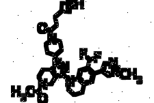 CC(=O)N1CCc2c(c(N3CCCc4cc(-c5cnn(C)c5)c(C(F)F)cc43)nn2C2CCN(C(=O)CCC3CNC3)CC2)C1